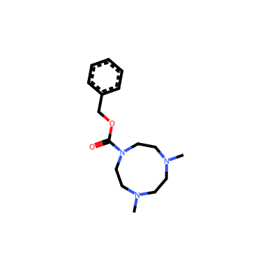 CN1CCN(C)CCN(C(=O)OCc2ccccc2)CC1